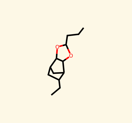 CCCC1OC2C3CC(CC)C(C3)C2O1